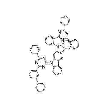 c1ccc(-c2cccc(-c3nc(-c4ccccc4)nc(-n4c5ccccc5c5cc6c7ccccc7n(-c7ccccc7-c7nc(-c8ccccc8)cc(-c8ccccc8)n7)c6cc54)n3)c2)cc1